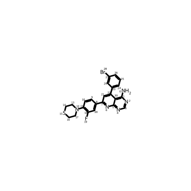 Nc1ncnc2nc(-c3ccc(N4CCSCC4)c(F)c3)cc(-c3cccc(Br)c3)c12